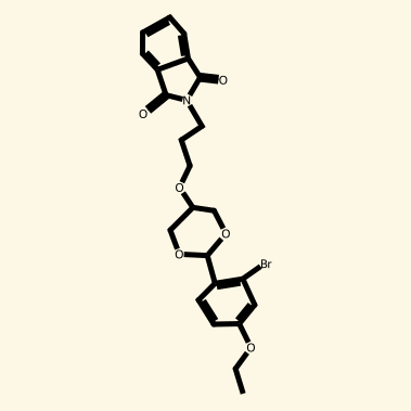 CCOc1ccc(C2OCC(OCCCN3C(=O)c4ccccc4C3=O)CO2)c(Br)c1